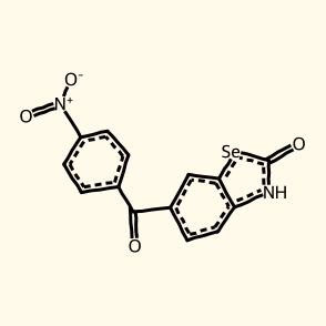 O=C(c1ccc([N+](=O)[O-])cc1)c1ccc2[nH]c(=O)[se]c2c1